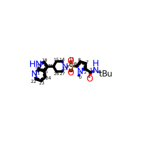 Cn1c(C(=O)NC(C)(C)C)ccc1S(=O)(=O)N1CCC(c2c[nH]c3ncccc23)CC1